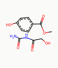 COC(=O)c1ccc(O)cc1.NC(=O)NC(=O)CO